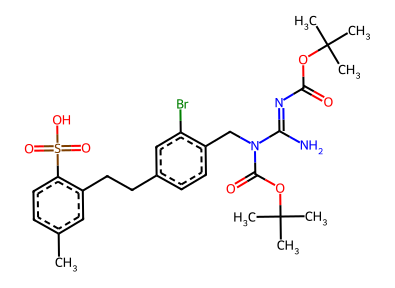 Cc1ccc(S(=O)(=O)O)c(CCc2ccc(CN(C(=O)OC(C)(C)C)C(N)=NC(=O)OC(C)(C)C)c(Br)c2)c1